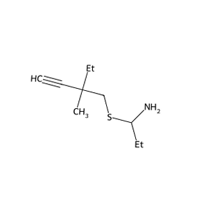 C#CC(C)(CC)CSC(N)CC